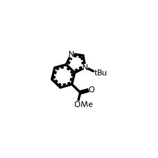 COC(=O)c1cccc2ncn(C(C)(C)C)c12